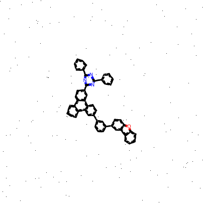 c1ccc(-c2nc(-c3ccccc3)nc(-c3ccc4c5ccccc5c5cc(-c6cccc(-c7ccc8oc9ccccc9c8c7)c6)ccc5c4c3)n2)cc1